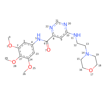 COc1cc(NC(=O)c2cc(NCCN3CCOCC3)ncn2)cc(OC)c1OC